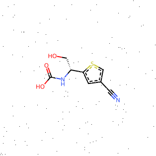 N#Cc1csc([C@@H](CO)NC(=O)O)c1